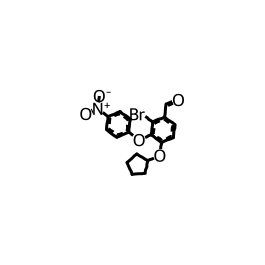 O=Cc1ccc(OC2CCCC2)c(Oc2ccc([N+](=O)[O-])cc2)c1Br